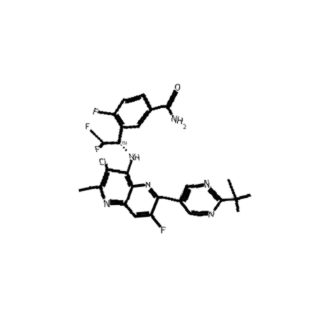 Cc1nc2cc(F)c(-c3cnc(C(C)(C)C)nc3)nc2c(N[C@@H](c2cc(C(N)=O)ccc2F)C(F)F)c1Cl